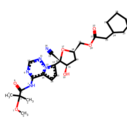 COC(C)(C)C(=O)Nc1ncnn2c([C@]3(C#N)O[C@@H](COC(=O)CC4CCCCC4)[CH][C@H]3O)ccc12